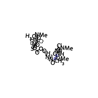 CNc1nc(N/C(C)=C(/C=C(\C)C(=O)N2CCN(CCCOc3cccc(C(=O)c4csc(C5CCCN5C(=O)[C@@H](NC(=O)[C@H](C)NC)C5CCCCC5)n4)c3)CC2)OC)ncc1Cl